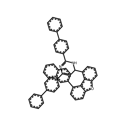 c1ccc(-c2ccc(C3=NC(c4cccc5oc6cccc(-c7ccc8ccccc8c7)c6c45)NC(c4ccc(-c5ccccc5)cc4)=N3)cc2)cc1